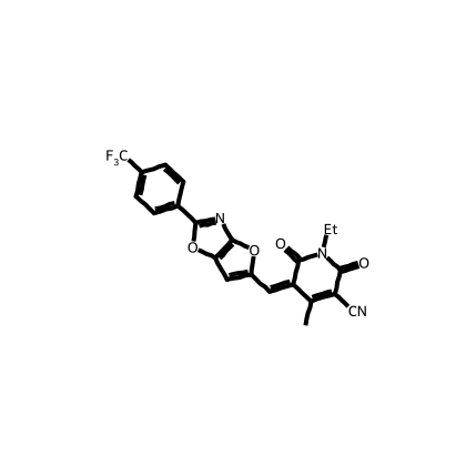 CCN1C(=O)C(C#N)=C(C)/C(=C/c2cc3oc(-c4ccc(C(F)(F)F)cc4)nc3o2)C1=O